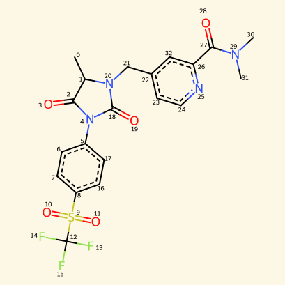 CC1C(=O)N(c2ccc(S(=O)(=O)C(F)(F)F)cc2)C(=O)N1Cc1ccnc(C(=O)N(C)C)c1